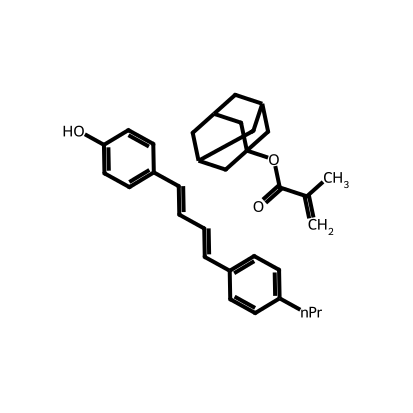 C=C(C)C(=O)OC12CC3CC(CC(C3)C1)C2.CCCc1ccc(C=CC=Cc2ccc(O)cc2)cc1